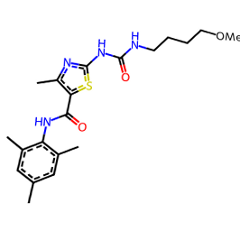 COCCCCNC(=O)Nc1nc(C)c(C(=O)Nc2c(C)cc(C)cc2C)s1